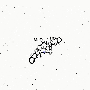 COC(=O)[C@@H]1C[C@@H](Cc2nc3ccccc3nc2C(F)(F)/C=C/CBr)CN1C(=O)[C@@H](NC(=O)O[C@@H]1CCC[C@H]1O)C(C)(C)C